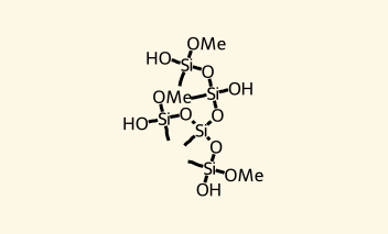 CO[Si](C)(O)O[Si](C)(O)O[Si](C)(O[Si](C)(O)OC)O[Si](C)(O)OC